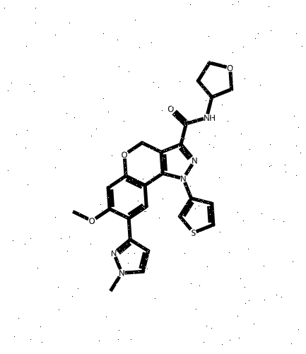 COc1cc2c(cc1-c1ccn(C)n1)-c1c(c(C(=O)NC3CCOC3)nn1-c1ccsc1)CO2